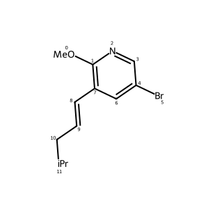 COc1ncc(Br)cc1C=CCC(C)C